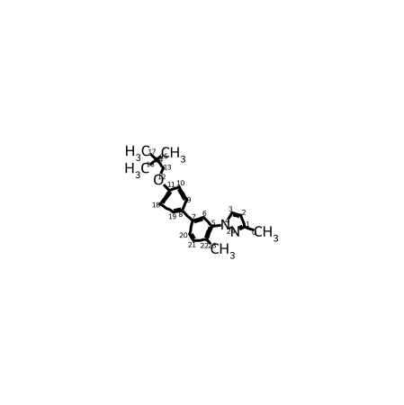 Cc1ccn(-c2cc(-c3ccc(OCC(C)(C)C)cc3)ccc2C)n1